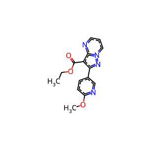 CCOC(=O)c1c(-c2ccc(OC)nc2)nn2cccnc12